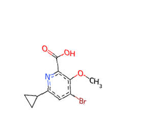 COc1c(Br)cc(C2CC2)nc1C(=O)O